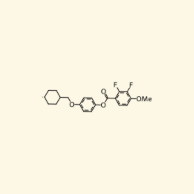 COc1ccc(C(=O)Oc2ccc(OCC3CC[CH]CC3)cc2)c(F)c1F